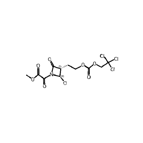 COC(=O)C(=O)N1C(=O)[C@H](CCOC(=O)OCC(Cl)(Cl)Cl)[C@H]1Cl